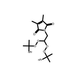 CCCC(C)(C)OOC(CN1C(=O)C(C)=C(C)C1=O)OOC(C)(C)CCC